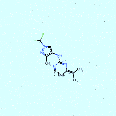 C=N/C(=N\C(NC)=C(/C)C(F)(F)F)Nc1cn(C(F)F)nc1C